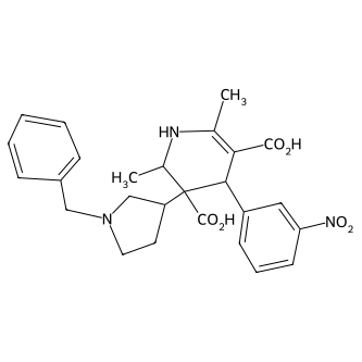 CC1=C(C(=O)O)C(c2cccc([N+](=O)[O-])c2)C(C(=O)O)(C2CCN(Cc3ccccc3)C2)C(C)N1